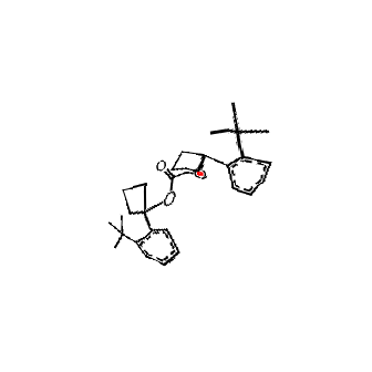 CC(C)(C)c1ccccc1C1(OC(=O)OC2(c3ccccc3C(C)(C)C)CCC2)CCC1